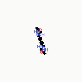 CC(C)C(C)(C)C(=O)N[C@H](c1ncc(-c2ccc(-c3ccc(-c4cnc([C@@H](NC(=O)C(C)(C)C(C)C)C(C)(C)C)[nH]4)cc3)cc2)[nH]1)C(C)(C)C